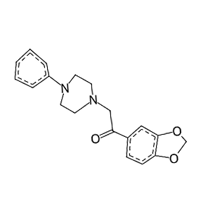 O=C(CN1CCN(c2ccccc2)CC1)c1ccc2c(c1)OCO2